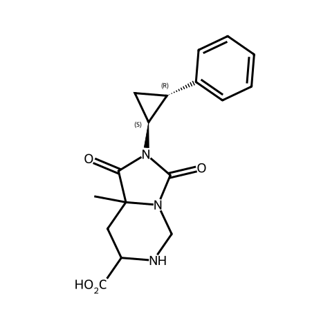 CC12CC(C(=O)O)NCN1C(=O)N([C@H]1C[C@@H]1c1ccccc1)C2=O